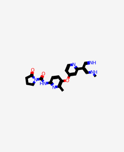 CN/C=C(\C=N)c1cc(Oc2ccc(NC(=O)N3CCCC3=O)nc2C)ccn1